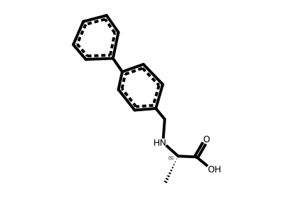 C[C@H](NCc1ccc(-c2ccccc2)cc1)C(=O)O